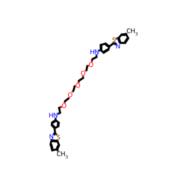 Cc1ccc2nc(-c3ccc(NCCOCCOCCOCCOCCOCCNc4ccc(-c5nc6ccc(C)cc6s5)cc4)cc3)sc2c1